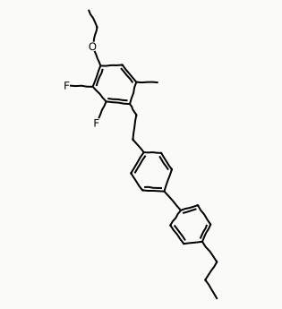 CCCc1ccc(-c2ccc(CCc3c(C)cc(OCC)c(F)c3F)cc2)cc1